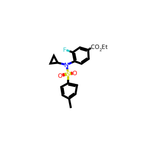 CCOC(=O)c1ccc(N(C2CC2)S(=O)(=O)c2ccc(C)cc2)c(F)c1